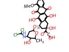 COc1cccc2c1C(=O)c1c(O)c3c(c(O)c1C2=O)C[C@@](O)(C(=O)CO)C[C@@H]3OC1CC(NC(Cl)Cl)C(O)C(C)O1